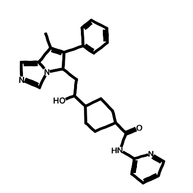 CC1=C(c2ccccc2)C(CC(O)C2CCC(C(=O)Nc3ccccn3)CC2)n2cncc21